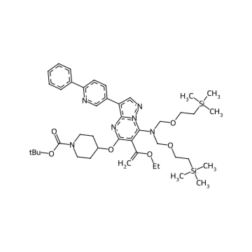 C=C(OCC)c1c(OC2CCN(C(=O)OC(C)(C)C)CC2)nc2c(-c3ccc(-c4ccccc4)nc3)cnn2c1N(COCC[Si](C)(C)C)COCC[Si](C)(C)C